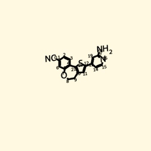 N#Cc1ccc2c(c1)OCCc1cc(-c3ccnc(N)c3)sc1-2